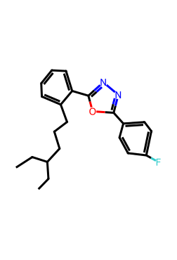 CCC(CC)CCCc1ccccc1-c1nnc(-c2ccc(F)cc2)o1